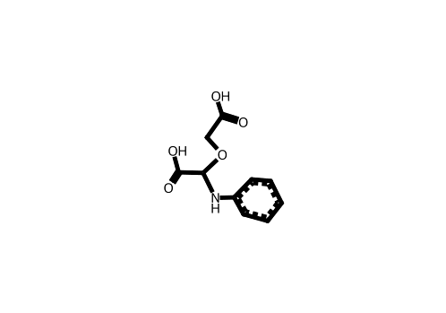 O=C(O)COC(Nc1ccccc1)C(=O)O